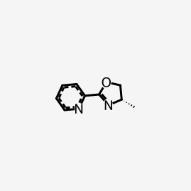 C[C@H]1COC(c2ccccn2)=N1